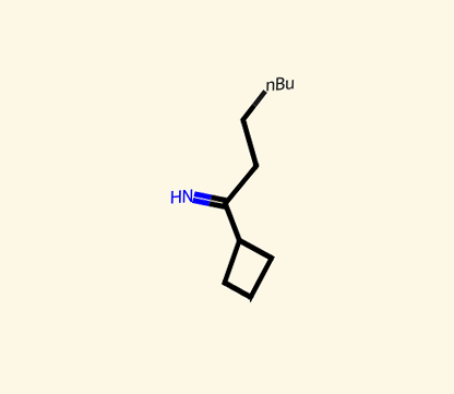 CCCCCCC(=N)C1C[CH]C1